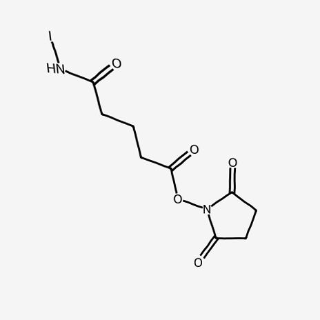 O=C(CCCC(=O)ON1C(=O)CCC1=O)NI